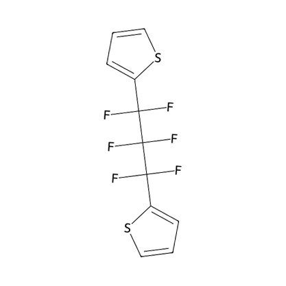 FC(F)(c1cccs1)C(F)(F)C(F)(F)c1cccs1